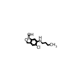 CCCCNc1cc2c(cc1Cl)COB2O